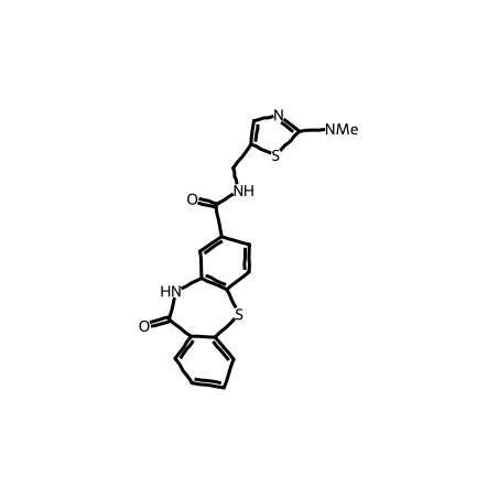 CNc1ncc(CNC(=O)c2ccc3c(c2)NC(=O)c2ccccc2S3)s1